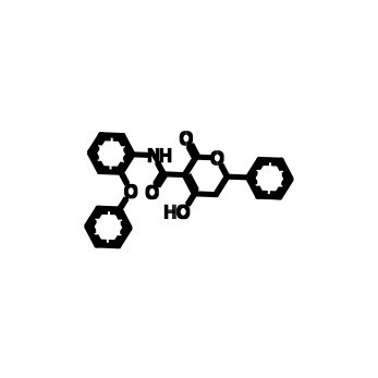 O=C(Nc1ccccc1Oc1ccccc1)C1=C(O)CC(c2ccccc2)OC1=O